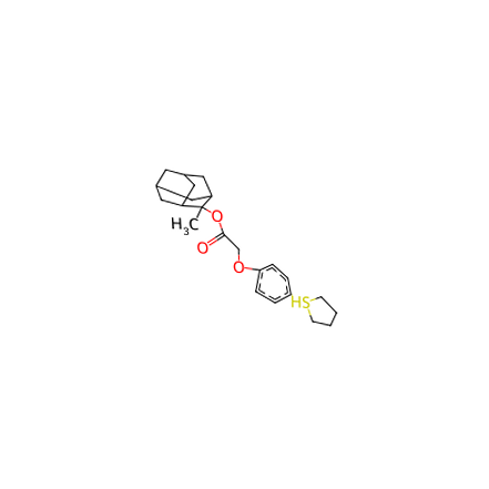 CC1(OC(=O)COc2ccc([SH]3CCCC3)cc2)C2CC3CC(C2)CC1C3